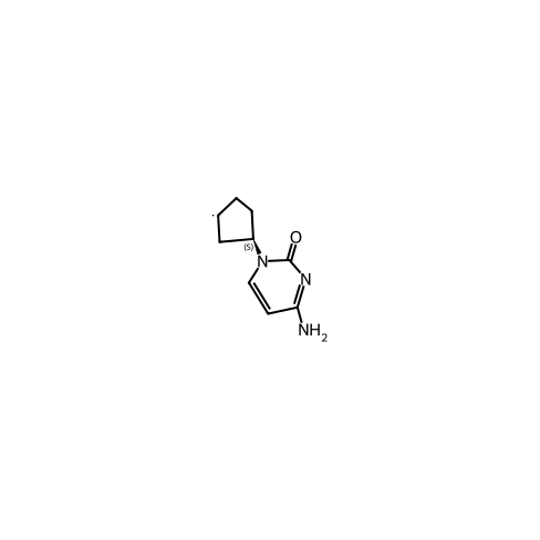 Nc1ccn([C@H]2C[CH]CC2)c(=O)n1